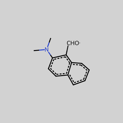 CN(C)c1ccc2ccccc2c1[C]=O